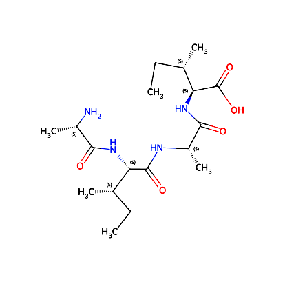 CC[C@H](C)[C@H](NC(=O)[C@H](C)NC(=O)[C@@H](NC(=O)[C@H](C)N)[C@@H](C)CC)C(=O)O